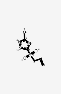 C=CCS(=O)(=O)c1nc([O])ns1